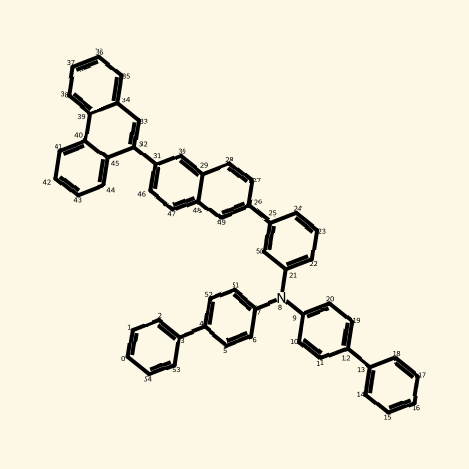 c1ccc(-c2ccc(N(c3ccc(-c4ccccc4)cc3)c3cccc(-c4ccc5cc(-c6cc7ccccc7c7ccccc67)ccc5c4)c3)cc2)cc1